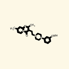 COc1cccc(N2CCN(CCc3c(C)nc4cc(C)ccn4c3=O)CC2)c1